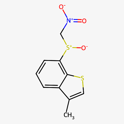 Cc1csc2c([S+]([O-])C[N+](=O)[O-])cccc12